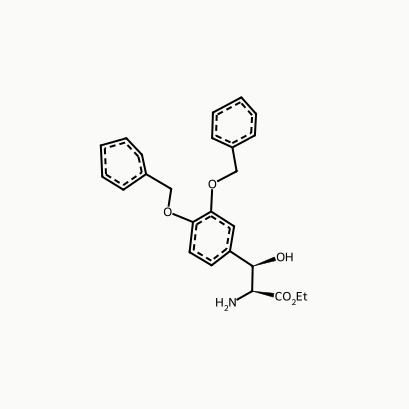 CCOC(=O)[C@@H](N)[C@H](O)c1ccc(OCc2ccccc2)c(OCc2ccccc2)c1